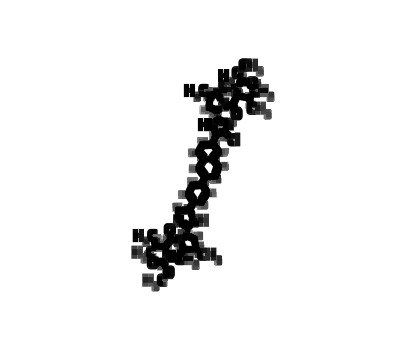 COC(=O)N[C@H](C(=O)N1[C@H](C)[C@H](C)C[C@H]1c1ncc(-c2ccc(-c3ccc4cc(-c5[nH]c([C@@H]6C[C@@H](C)[C@@H](C)N6C(=O)[C@@H](NC(=O)OC)C(C)C)nc5Cl)ccc4c3)cc2)[nH]1)C(C)C